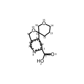 O=C(O)c1cc2c(cn1)COC21CCCOC1